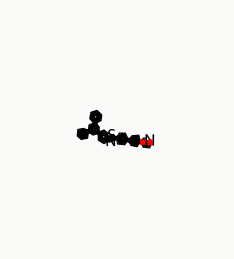 c1ccc(-c2cc(-c3ccccc3)cc(-c3ccc4nc(-c5ccc(-c6ccc(-c7cccnc7)cc6)cc5)sc4c3)c2)cc1